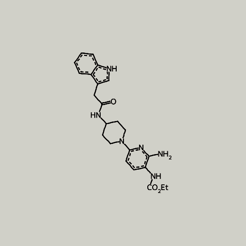 CCOC(=O)Nc1ccc(N2CCC(NC(=O)Cc3c[nH]c4ccccc34)CC2)nc1N